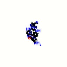 C[S+]([O-])Cc1cc(Nc2cc(Nc3ccc(N)cn3)n3ncc(C#N)c3n2)ccc1N1CC[C@H](N)C1